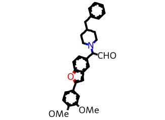 COc1ccc(-c2cc3cc(C(C=O)N4CCC(Cc5ccccc5)CC4)ccc3o2)cc1OC